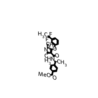 COC(=O)c1ccc([C@H](C)NC(=O)c2c(C)nn(C)c2Oc2cccc(C(C)(F)F)c2)cc1